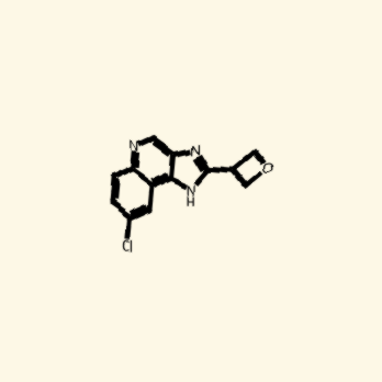 Clc1ccc2ncc3nc(C4COC4)[nH]c3c2c1